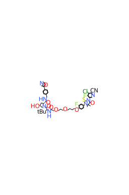 CC(C)(C)[C@H](NC(=O)COCCCOCCCCOc1ccc(N2C(=S)N(c3cnc(C#N)c(Cl)c3F)C(=O)C2(C)C)cc1F)C(=O)N1C[C@H](O)C[C@H]1C(=O)NCc1ccc(-c2cnco2)cc1